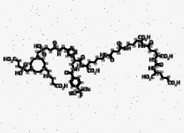 CC(C)(C)S(F)(c1ccc(C(=O)NCC(C(=O)NC(CCCCNC(=O)CCC(=O)NCCCC(NC(=O)CC[C@H](NC(=O)N[C@@H](CCCC(=O)O)C(=O)O)C(=O)O)C(=O)O)C(=O)O)n2cc(CNC(=O)CCP(=O)(O)CN3CCN(CPCCC(=O)O)CCN(CP(=O)(O)CCC(=O)O)CC3)nn2)cc1)C(C)(C)C